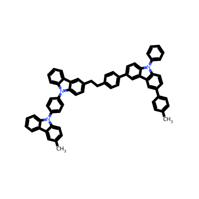 Cc1ccc(-c2ccc3c(c2)c2cc(-c4ccc(CCc5ccc6c(c5)c5ccccc5n6-c5ccc(-n6c7ccccc7c7cc(C)ccc76)cc5)cc4)ccc2n3-c2ccccc2)cc1